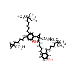 CC(C)(CCCCCc1cc(C2CC2(CCCCCc2ccc(O)cc2CCCCCC(C)(C)C(=O)O)C(=O)O)c(O)cc1CCCCCC1(C(=O)O)CC1)C(=O)O